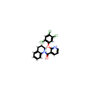 O=C(c1cccnc1Oc1cc(Cl)c(Cl)cc1Cl)N1CCCc2ccccc21